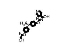 C#CC(F)Oc1ccc(N(C)c2ccc(Oc3nc(O)c4ccncc4n3)cc2)cc1